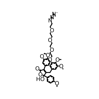 COc1ccc(C2(O)OC(=O)C(c3ccc4c(c3)OCO4)=C2Cc2cc(OC)c(OC)c(OCCOCCOCCOCCN=[N+]=[N-])c2)cc1